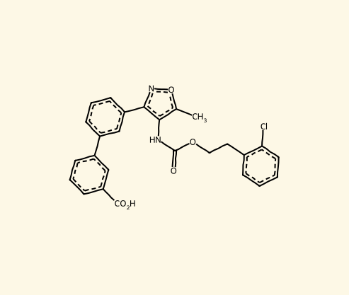 Cc1onc(-c2cccc(-c3cccc(C(=O)O)c3)c2)c1NC(=O)OCCc1ccccc1Cl